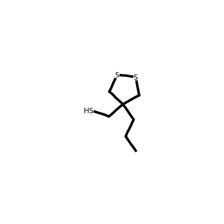 CCCC1(CS)CSSC1